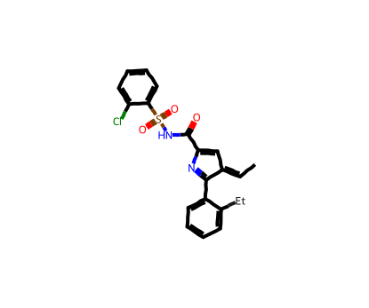 C/C=C1\C=C(C(=O)NS(=O)(=O)c2ccccc2Cl)N=C1c1ccccc1CC